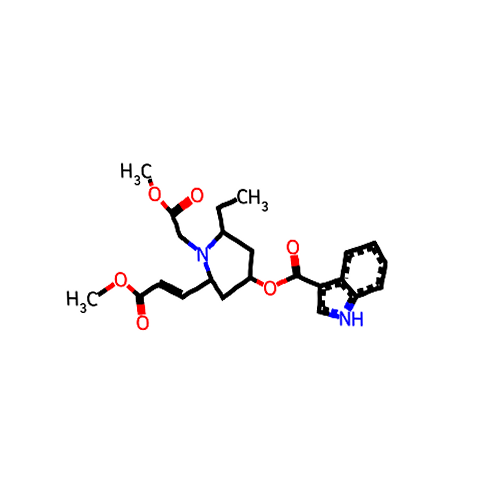 CCC1CC(OC(=O)c2c[nH]c3ccccc23)CC(/C=C/C(=O)OC)N1CC(=O)OC